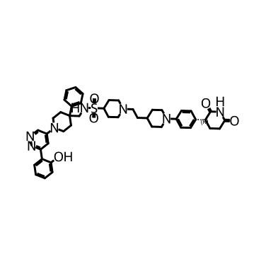 O=C1CC[C@H](c2ccc(N3CCC(CCN4CCC(S(=O)(=O)NCC5(c6ccccc6)CCN(c6cnnc(-c7ccccc7O)c6)CC5)CC4)CC3)cc2)C(=O)N1